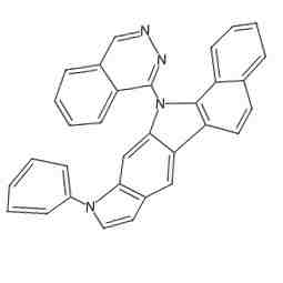 c1ccc(-n2ccc3cc4c5ccc6ccccc6c5n(-c5nncc6ccccc56)c4cc32)cc1